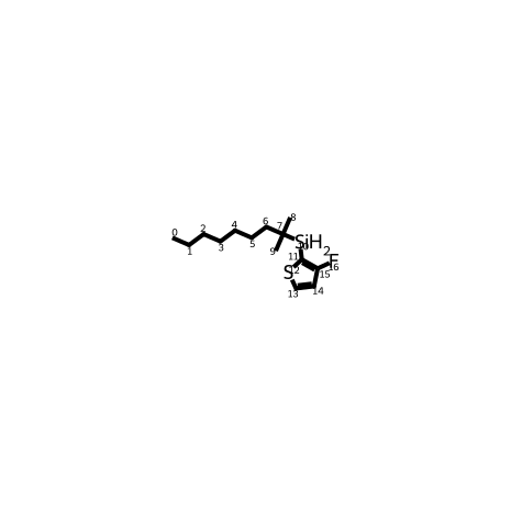 CCCCCCCC(C)(C)[SiH2]c1sccc1F